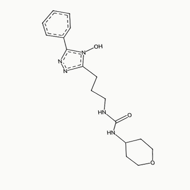 O=C(NCCCc1nnc(-c2ccccc2)n1O)NC1CCOCC1